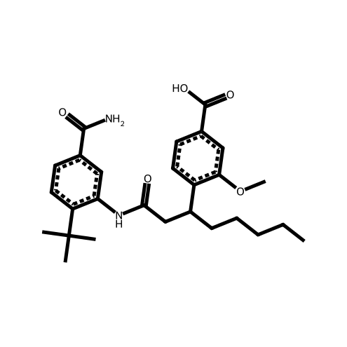 CCCCCC(CC(=O)Nc1cc(C(N)=O)ccc1C(C)(C)C)c1ccc(C(=O)O)cc1OC